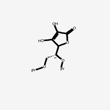 CC(C)OC[C@@H](OC(C)C)C1OC(=O)C(O)=C1O